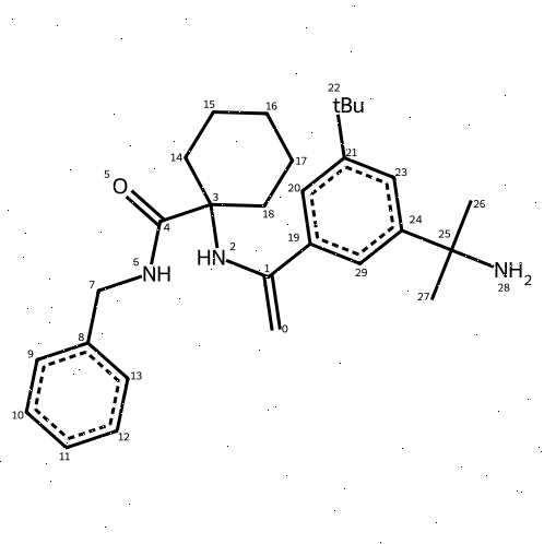 C=C(NC1(C(=O)NCc2ccccc2)CCCCC1)c1cc(C(C)(C)C)cc(C(C)(C)N)c1